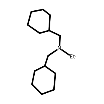 C[CH]N(CC1CCCCC1)CC1CCCCC1